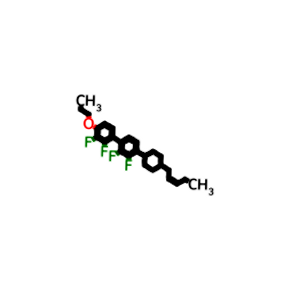 CC/C=C\CC1CCC(c2ccc(-c3ccc(OCCC)c(F)c3F)c(F)c2F)CC1